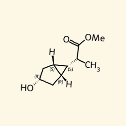 COC(=O)C(C)[C@@H]1[C@@H]2C[C@H](O)C[C@@H]21